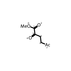 COC(=O)C(=O)CCC(C)=O